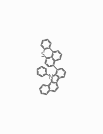 c1ccc(-n2c3c(-c4ccc5c6c(cccc46)-c4ccccc4S5)cccc3c3ccc4ccccc4c32)cc1